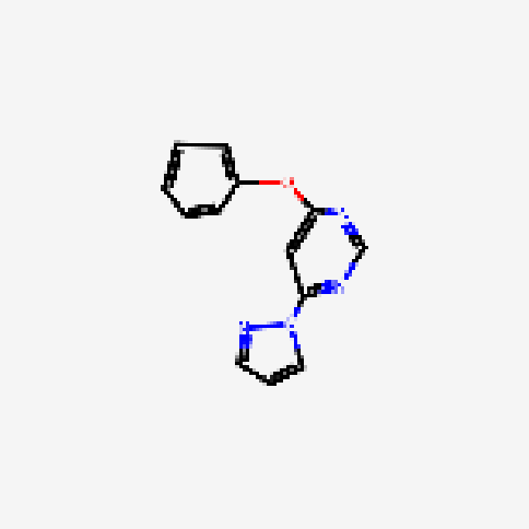 c1ccc(Oc2cc(-n3cccn3)ncn2)cc1